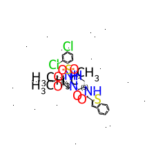 CC(C)C[C@H](NC(=O)c1cc2ccccc2s1)C(=O)NC[C@H]1OC(C)(C)OC1NS(=O)(=O)c1ccc(Cl)cc1Cl